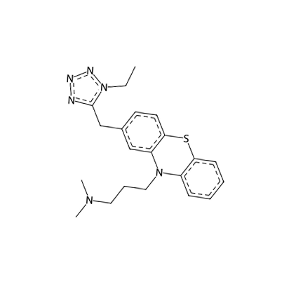 CCn1nnnc1Cc1ccc2c(c1)N(CCCN(C)C)c1ccccc1S2